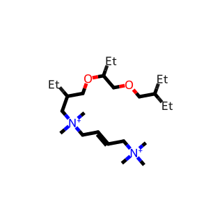 CCC(CC)COCC(CC)OCC(CC)C[N+](C)(C)C/C=C/C[N+](C)(C)C